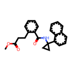 COC(=O)CCc1ccccc1C(=O)NC1(c2cccc3ccccc23)CC1